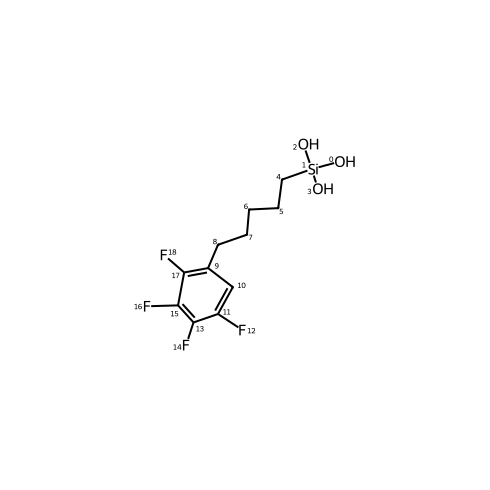 O[Si](O)(O)CCCCCc1cc(F)c(F)c(F)c1F